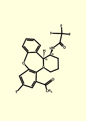 CC(=O)c1cc(F)cc2c1N1CCC[C@H](NC(=O)C(F)(F)F)[C@@H]1c1ccccc1O2